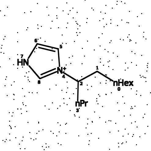 CCCCCCCC(CCC)[n+]1cc[nH]c1